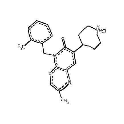 Cc1cnc2c(cc(C3CCNCC3)c(=O)n2Cc2ccccc2C(F)(F)F)n1.Cl